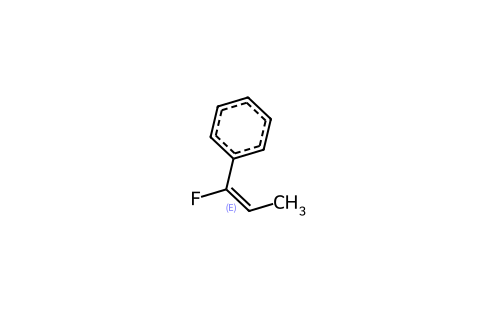 C/C=C(/F)c1ccccc1